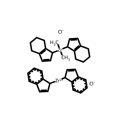 C1=C[CH]([Zr+2][CH]2C=Cc3ccccc32)c2ccccc21.[CH3][Zr]([CH3])([CH]1C=CC2=C1CCCC2)[CH]1C=CC2=C1CCCC2.[Cl-].[Cl-]